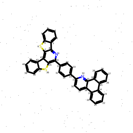 c1ccc2c(c1)sc1c2nc(-c2ccc(-c3ccc4c5ccccc5c5ccccc5c4n3)cc2)c2sc3ccccc3c21